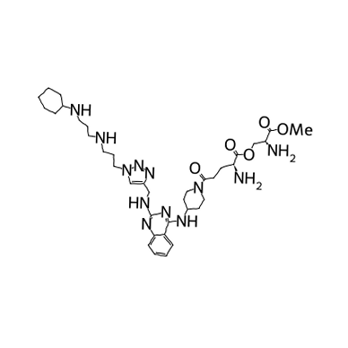 COC(=O)[C@@H](N)COC(=O)[C@@H](N)CCC(=O)N1CCC(Nc2nc(NCc3cn(CCCNCCCNC4CCCCC4)nn3)nc3ccccc23)CC1